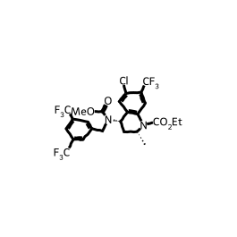 CCOC(=O)N1c2cc(C(F)(F)F)c(Cl)cc2[C@@H](N(Cc2cc(C(F)(F)F)cc(C(F)(F)F)c2)C(=O)OC)C[C@H]1C